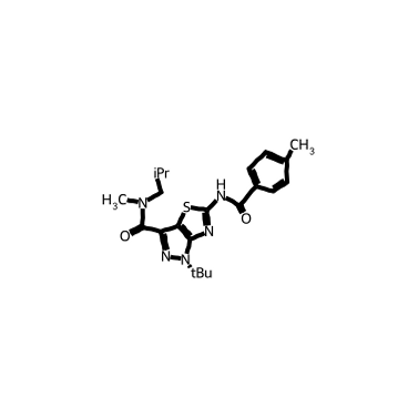 Cc1ccc(C(=O)Nc2nc3c(s2)c(C(=O)N(C)CC(C)C)nn3C(C)(C)C)cc1